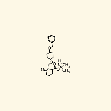 CC(C)(C)OC(=O)C1CCCC(=O)C1COC1CCC(OCc2ccccc2)CC1